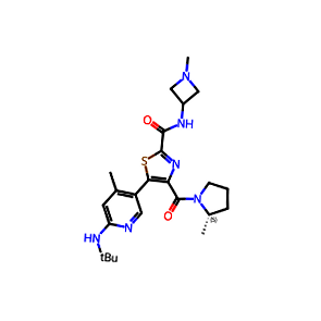 Cc1cc(NC(C)(C)C)ncc1-c1sc(C(=O)NC2CN(C)C2)nc1C(=O)N1CCC[C@@H]1C